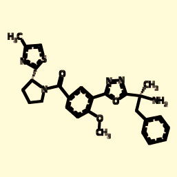 COc1ccc(C(=O)N2CCC[C@@H]2c2nc(C)cs2)cc1-c1nnc([C@@](C)(N)Cc2ccccc2)o1